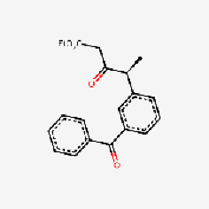 CCOC(=O)CC(=O)[C@@H](C)c1cccc(C(=O)c2ccccc2)c1